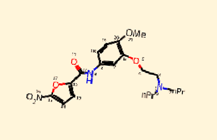 CCCN(CCC)CCOc1cc(NC(=O)c2ccc([N+](=O)[O-])o2)ccc1OC